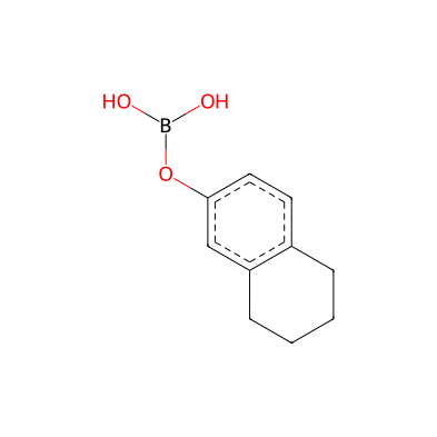 OB(O)Oc1ccc2c(c1)CCCC2